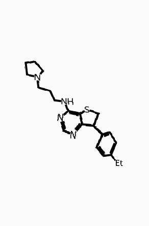 CCc1ccc(C2CSc3c(NCCCN4CCCC4)ncnc32)cc1